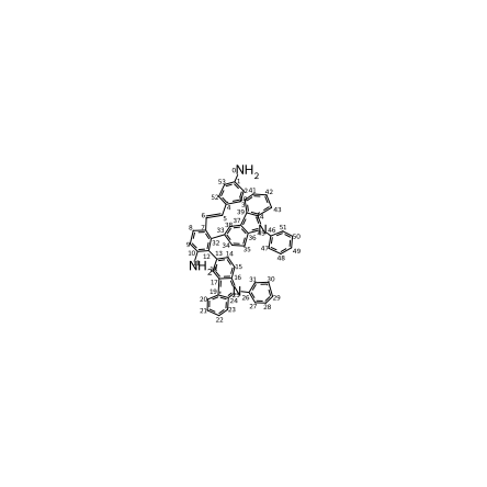 Nc1ccc(C=Cc2ccc(N)c(-c3ccc4c(c3)c3ccccc3n4-c3ccccc3)c2-c2ccc3c(c2)c2ccccc2n3-c2ccccc2)cc1